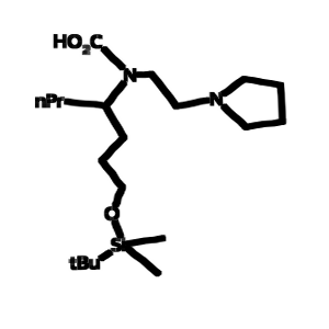 CCCC(CCCO[Si](C)(C)C(C)(C)C)N(CCN1CCCC1)C(=O)O